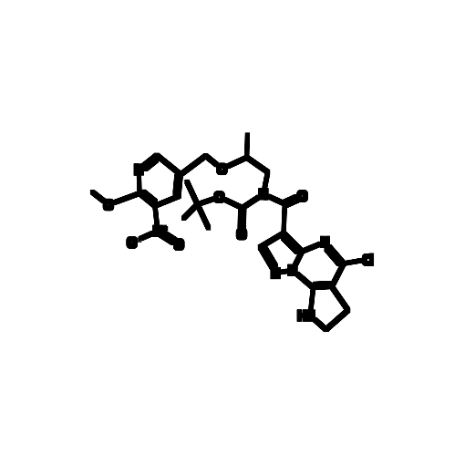 COc1ncc(COC(C)CN(C(=O)OC(C)(C)C)C(=O)c2cnn3c4c(c(Cl)nc23)CCN4)cc1[N+](=O)[O-]